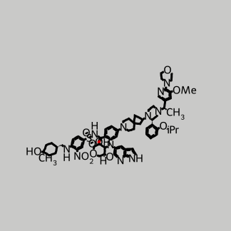 COc1cc([C@@H](C)N2CCN(C3CC4(CCN(c5ccc(C(=O)NS(=O)(=O)c6ccc(NC[C@H]7CC[C@](C)(O)CC7)c([N+](=O)[O-])c6)c(N6c7cc8cc[nH]c8nc7O[C@H]7COCC[C@@H]76)c5)CC4)C3)[C@@H](c3ccccc3OC(C)C)C2)cnc1N1CCOCC1